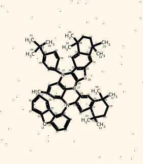 Cc1cc2c3c(c1)N(c1cccc4oc5ccccc5c14)c1cc4c(cc1B3c1sc3cc5c(cc3c1N2c1ccc(C(C)(C)C)cc1)C(C)(C)CCC5(C)C)C(C)(C)CCC4(C)C